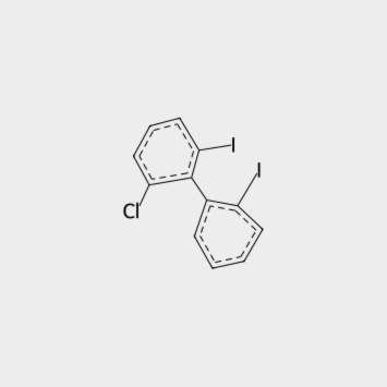 Clc1cccc(I)c1-c1ccccc1I